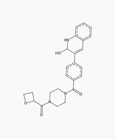 O=C(c1ccc(C2=Cc3ccccc3NC2O)cc1)N1CCN(C(=O)C2CCO2)CC1